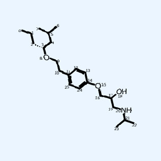 CCC[C@H](CC(C)C)OCCc1ccc(OCC(O)CNC(C)C)cc1